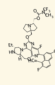 C#Cc1c(F)ccc2cc(O)cc(-c3nc4c5c(nc(OC[C@@]67CCCN6[C@H](COC(=O)N(C)C(F)(F)F)CC7)nc5c3F)N3C[C@@H](CC)NC[C@H]3CO4)c12